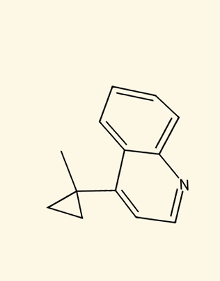 CC1(c2ccnc3ccccc23)CC1